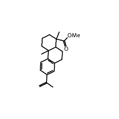 C=C(C)c1ccc2c(c1)CCC1C(C)(C(=O)OC)CCCC21C